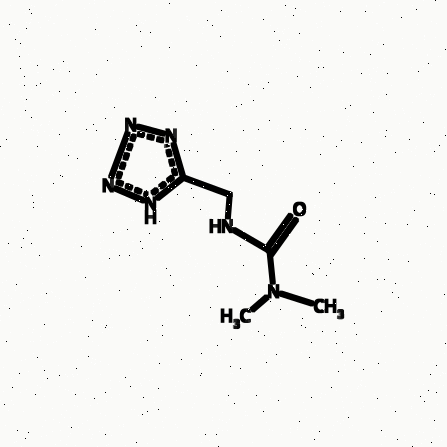 CN(C)C(=O)NCc1nnn[nH]1